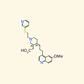 COc1ccc2nccc(CCC[C@@H]3CCN(CCSc4cccnc4)C[C@@H]3CC(=O)O)c2c1